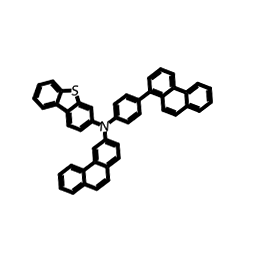 c1ccc2c(c1)ccc1ccc(N(c3ccc(-c4cccc5c4ccc4ccccc45)cc3)c3ccc4c(c3)sc3ccccc34)cc12